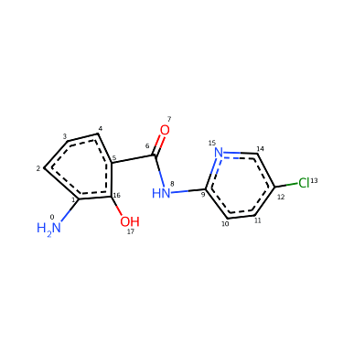 Nc1cccc(C(=O)Nc2ccc(Cl)cn2)c1O